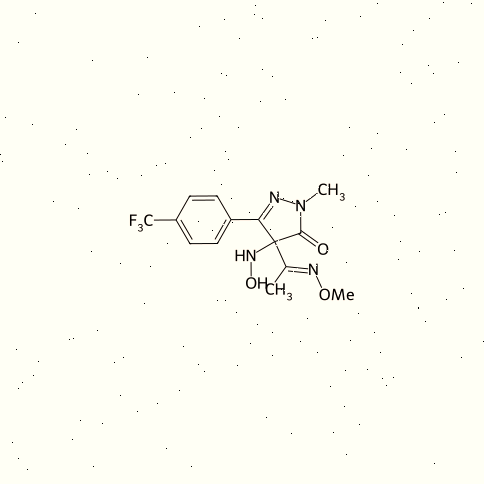 CON=C(C)C1(NO)C(=O)N(C)N=C1c1ccc(C(F)(F)F)cc1